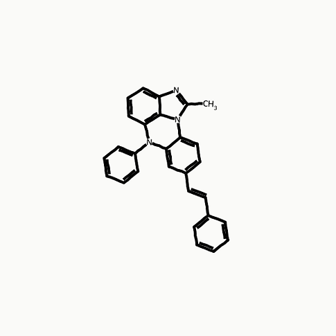 Cc1nc2cccc3c2n1-c1ccc(/C=C/c2ccccc2)cc1N3c1ccccc1